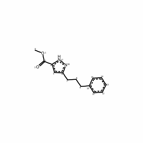 COC(=O)c1cc(CCCc2ccccc2)n[nH]1